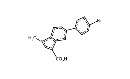 Cn1cc(C(=O)O)c2cc(-c3ccc(Br)cc3)ccc21